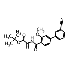 COc1cc(-c2cccc(C#N)c2)ccc1C(=O)NNC(=O)OC(C)(C)C